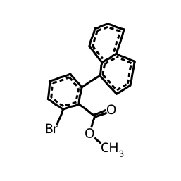 COC(=O)c1c(Br)cccc1-c1cccc2ccccc12